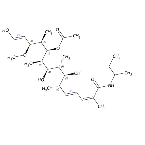 CCC(C)NC(=O)/C(C)=C\C=C\[C@H](C)[C@H](O)[C@@H](C)[C@@H](O)[C@@H](C)[C@H](OC(C)=O)[C@H](C)[C@H](/C=C/O)OC